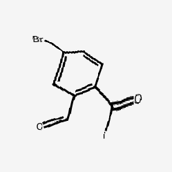 O=Cc1cc(Br)ccc1C(=O)I